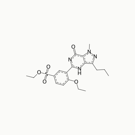 CCCc1nn(C)c2c(=O)nc(-c3cc(S(=O)(=O)OCC)ccc3OCC)[nH]c12